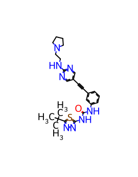 CC(C)(C)c1nnc(NC(=O)Nc2cccc(C#Cc3cnc(NCCN4CCCC4)nc3)c2)s1